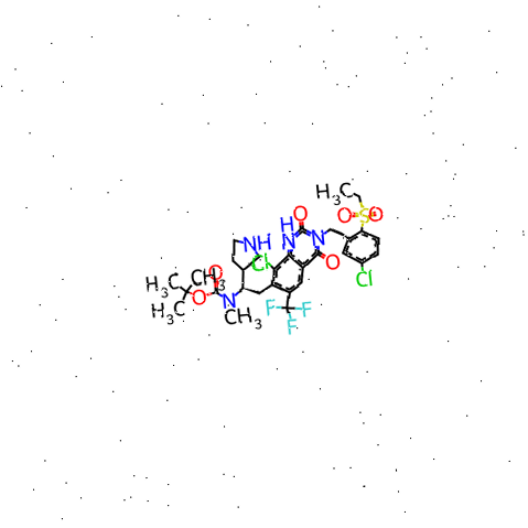 CCS(=O)(=O)c1ccc(Cl)cc1Cn1c(=O)[nH]c2c(Cl)c(C[C@H](C3CCNC3)N(C)C(=O)OC(C)(C)C)c(C(F)(F)F)cc2c1=O